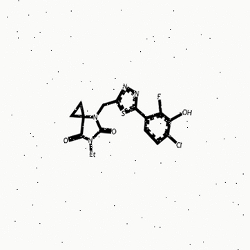 CCN1C(=O)N(Cc2nnc(-c3ccc(Cl)c(O)c3F)s2)C2(CC2)C1=O